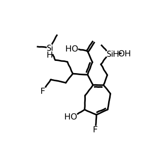 C=C(O)/C=C(/C1=C(CC[SiH](C)O)CC=C(F)C(O)C1)C(CCF)CC[SiH](C)C